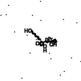 CCCC1(C(O)CC=C[C@H]2C(O)CC(=O)[C@@H]2CC=CCCCCO)CCC1